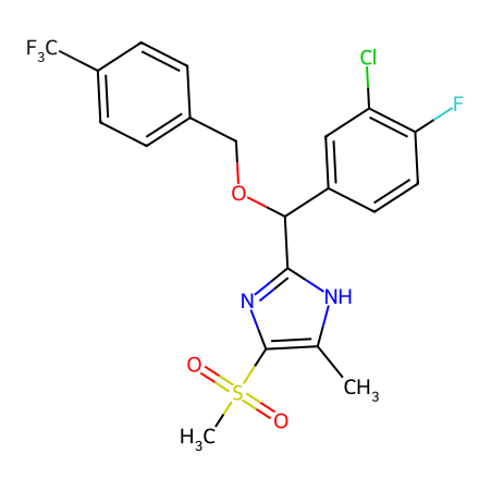 Cc1[nH]c(C(OCc2ccc(C(F)(F)F)cc2)c2ccc(F)c(Cl)c2)nc1S(C)(=O)=O